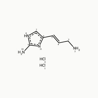 Cl.Cl.NC/C=C/c1c[nH]c(N)n1